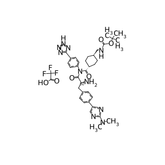 CN(C)c1ncc(-c2ccc(C[C@H](N)C(=O)N(c3ccc(-c4nn[nH]n4)cc3)C(=O)[C@H]3CC[C@H](CNC(=O)OC(C)(C)C)CC3)cc2)cn1.O=C(O)C(F)(F)F